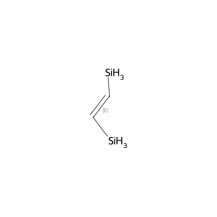 [SiH3]/C=C/[SiH3]